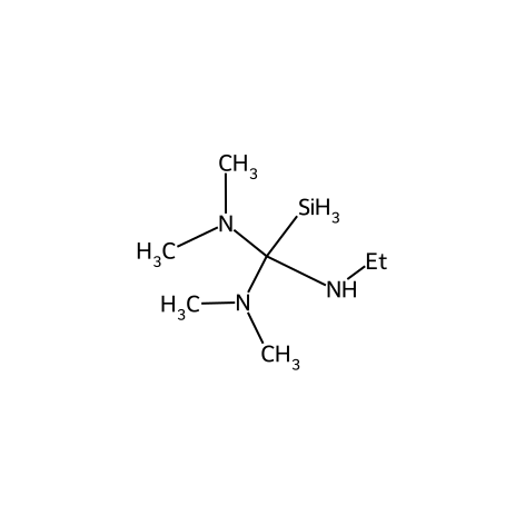 CCNC([SiH3])(N(C)C)N(C)C